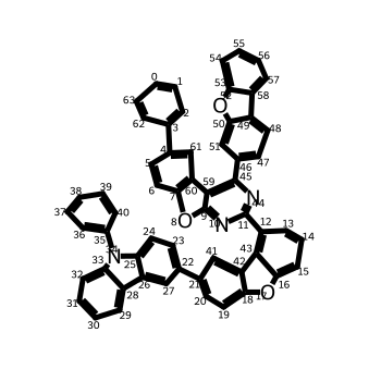 c1ccc(-c2ccc3oc4nc(-c5cccc6oc7ccc(-c8ccc9c(c8)c8ccccc8n9-c8ccccc8)cc7c56)nc(-c5ccc6c(c5)oc5ccccc56)c4c3c2)cc1